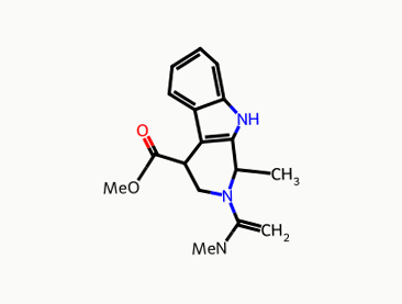 C=C(NC)N1CC(C(=O)OC)c2c([nH]c3ccccc23)C1C